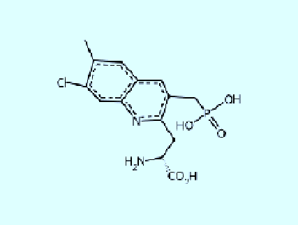 Cc1cc2cc(CP(=O)(O)O)c(C[C@@H](N)C(=O)O)nc2cc1Cl